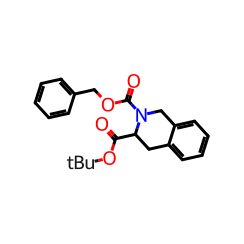 CC(C)(C)OC(=O)C1Cc2ccccc2CN1C(=O)OCc1ccccc1